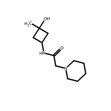 CC1(O)CC(NC(=O)CN2CCCCC2)C1